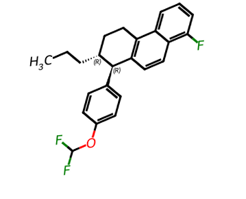 CCC[C@@H]1CCc2c(ccc3c(F)cccc23)[C@H]1c1ccc(OC(F)F)cc1